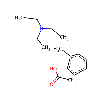 CC(=O)O.CCN(CC)CC.Cc1ccccc1